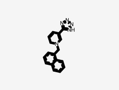 C1=CC(c2nnn[nH]2)=CN(Cc2cccc3ccccc23)C1